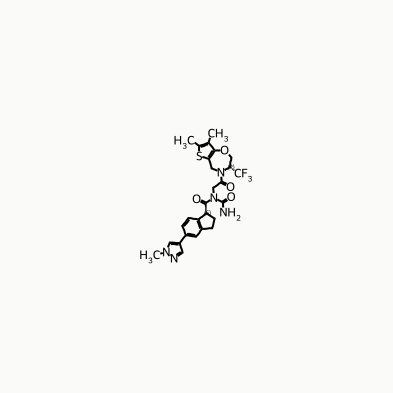 Cc1sc2c(c1C)OC[C@H](C(F)(F)F)N(C(=O)CN(C(N)=O)C(=O)[C@H]1CCc3cc(-c4cnn(C)c4)ccc31)C2